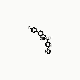 O=C(NCc1ccc(-c2ccc(F)cc2)cc1Cl)c1ccc(-n2cccn2)nc1